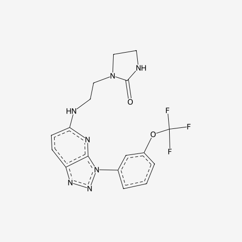 O=C1NCCN1CCNc1ccc2nnn(-c3cccc(OC(F)(F)F)c3)c2n1